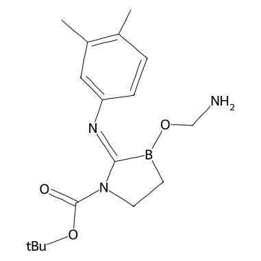 Cc1ccc(/N=C2\B(OCN)CCN2C(=O)OC(C)(C)C)cc1C